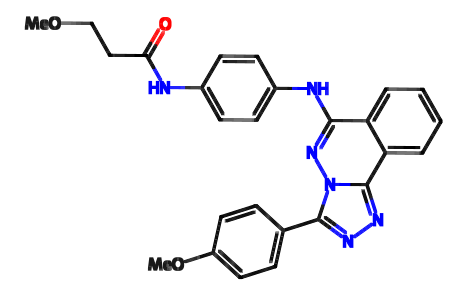 COCCC(=O)Nc1ccc(Nc2nn3c(-c4ccc(OC)cc4)nnc3c3ccccc23)cc1